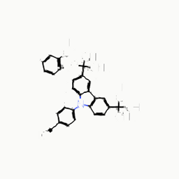 C#Cc1ccc(-n2c3ccc(C(C)(C)C)cc3c3cc(C(C)(C)C)ccc32)cc1.Cc1ccccc1